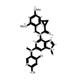 CCc1cc(C#N)ncc1N(C)c1cc2c(ncn2C)c(N(Cc2ccc(OC)cc2OC)C(=O)C2CC2)n1